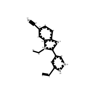 C=Cc1cc(-c2nc3ccc(C#N)cc3n2CC)cnn1